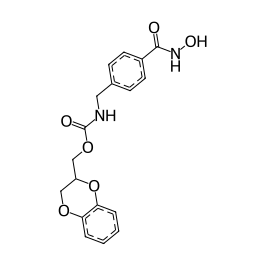 O=C(NCc1ccc(C(=O)NO)cc1)OCC1COc2ccccc2O1